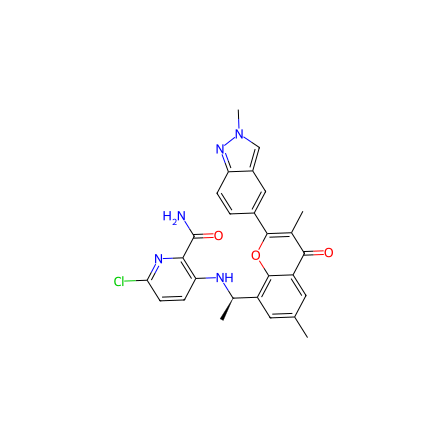 Cc1cc([C@@H](C)Nc2ccc(Cl)nc2C(N)=O)c2oc(-c3ccc4nn(C)cc4c3)c(C)c(=O)c2c1